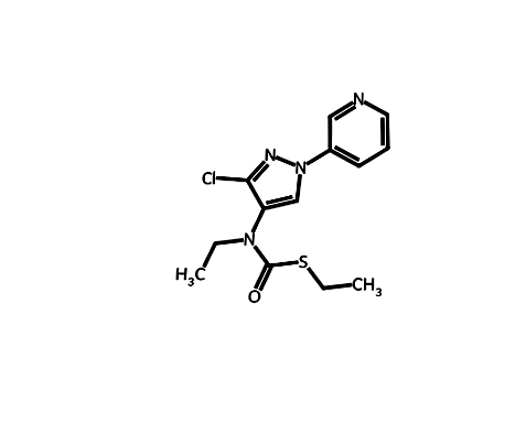 CCSC(=O)N(CC)c1cn(-c2cccnc2)nc1Cl